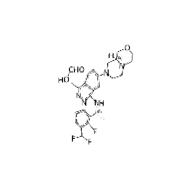 Cc1nnc(N[C@H](C)c2cccc(C(F)F)c2F)c2cc(N3CCN4CCOC[C@@H]4C3)ccc12.O=CO